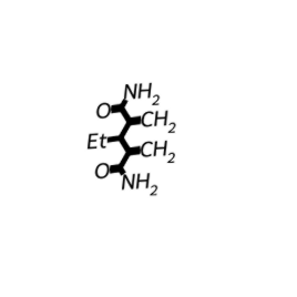 C=C(C(N)=O)C(CC)C(=C)C(N)=O